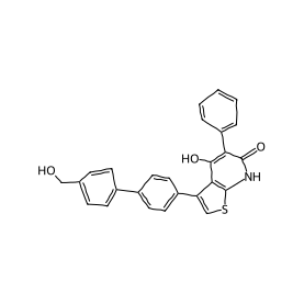 O=c1[nH]c2scc(-c3ccc(-c4ccc(CO)cc4)cc3)c2c(O)c1-c1ccccc1